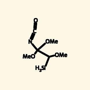 COC([SiH3])C(N=C=O)(OC)OC